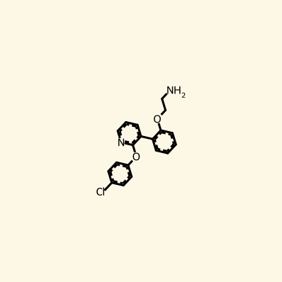 NCCOc1ccccc1-c1cccnc1Oc1ccc(Cl)cc1